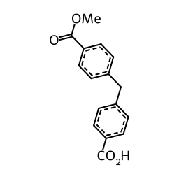 COC(=O)c1ccc(Cc2ccc(C(=O)O)cc2)cc1